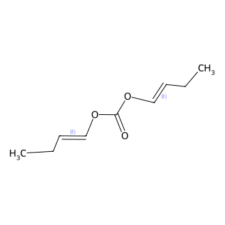 CC/C=C/OC(=O)O/C=C/CC